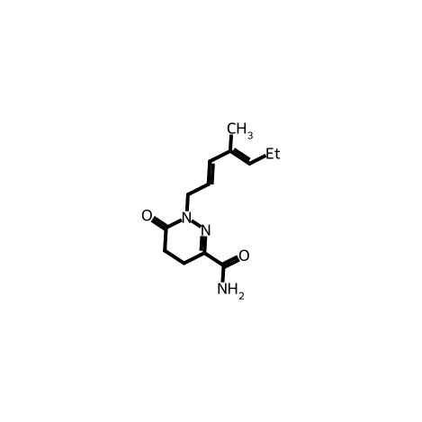 CCC=C(C)C=CCN1N=C(C(N)=O)CCC1=O